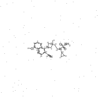 COc1cccc2c(N3CC(C)(CCN(C4CC4)S(N)(=O)=O)C3)c(C#N)cnc12